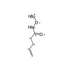 C=CCCC(=O)NOCCCC